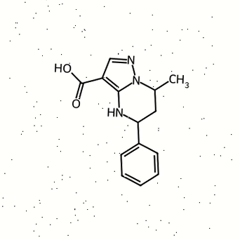 CC1CC(c2ccccc2)Nc2c(C(=O)O)cnn21